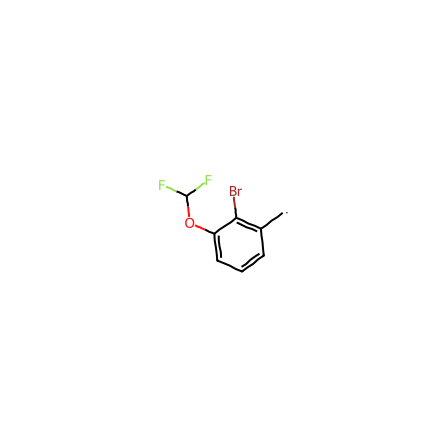 [CH2]c1cccc(OC(F)F)c1Br